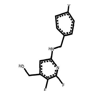 COc1ccc(CNc2cc(CO)c(F)c(F)n2)cc1